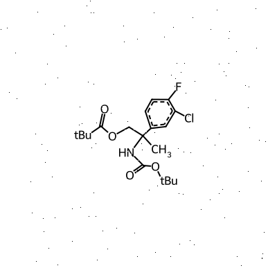 CC(C)(C)OC(=O)NC(C)(COC(=O)C(C)(C)C)c1ccc(F)c(Cl)c1